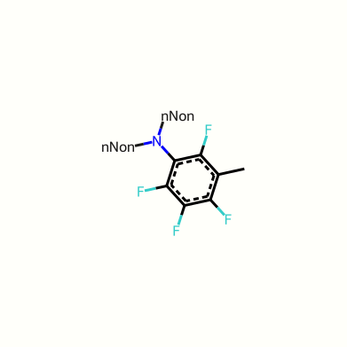 CCCCCCCCCN(CCCCCCCCC)c1c(F)c(C)c(F)c(F)c1F